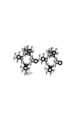 O=S(=O)([O-])c1c(F)c(F)c(F)c2c3nc4nc(nc5c6c(F)c(F)c(F)c(F)c6c(nc6nc(nc([nH]3)c12)-c1c(F)c(F)c(F)c(F)c1-6)n5F)-c1ccccc1-4.O=S(=O)([O-])c1c(F)c(F)c(F)c2c3nc4nc(nc5c6c(F)c(F)c(F)c(F)c6c(nc6nc(nc([nH]3)c12)-c1c(F)c(F)c(F)c(F)c1-6)n5F)-c1ccccc1-4.[Zn+2]